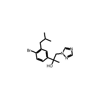 CC(C)Cc1cc(C(C)(O)Cn2cncn2)ccc1Br